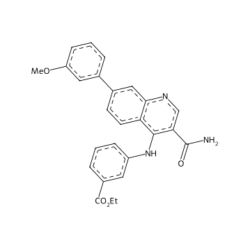 CCOC(=O)c1cccc(Nc2c(C(N)=O)cnc3cc(-c4cccc(OC)c4)ccc23)c1